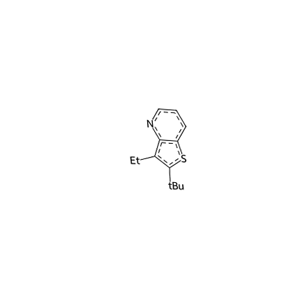 CCc1c(C(C)(C)C)sc2cccnc12